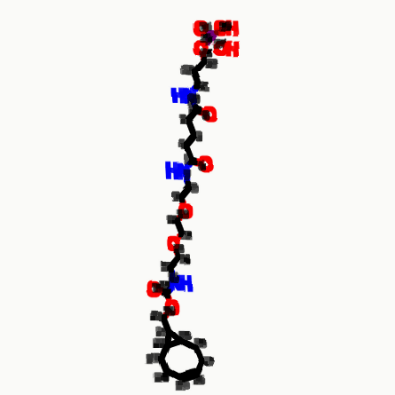 O=C(CCCC(=O)NCCOCCOCCNC(=O)OCC1C2CCC#CCCC21)NCCCOP(=O)(O)O